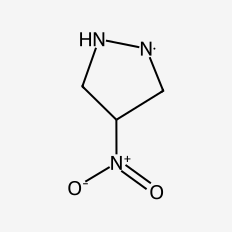 O=[N+]([O-])C1C[N]NC1